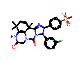 CC1(C)C=CC2(C)C3=NC(c4ccc(S(C)(=O)=O)cc4)C(c4cccc(F)c4)N3C(=O)N3CC(=O)NC1=C32